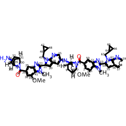 COc1cc(C(=O)N2C[C@H]3CC[C@@H]2[C@@H](Nc2cnc4c(c2)cc(-c2nc5cc(C(=O)N6C[C@@H]7CC[C@H]6[C@H](N)C7)cc(OC)c5n2C)n4CC2CC2)C3)cc2nc(-c3cc4cccnc4n3CC3CC3)n(C)c12